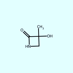 CC1(O)CNC1=O